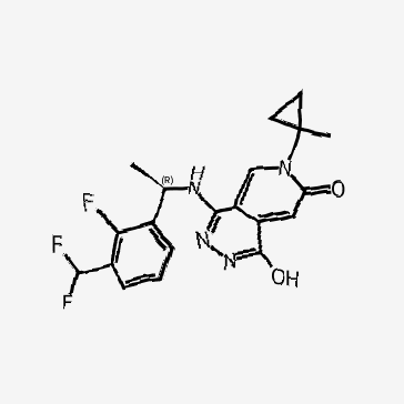 C[C@@H](Nc1nnc(O)c2cc(=O)n(C3(C)CC3)cc12)c1cccc(C(F)F)c1F